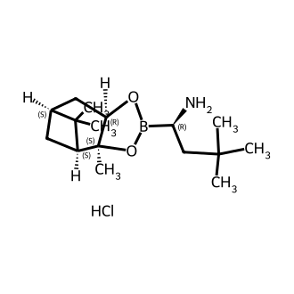 CC(C)(C)C[C@H](N)B1O[C@@H]2C[C@@H]3C[C@@H](C3(C)C)[C@]2(C)O1.Cl